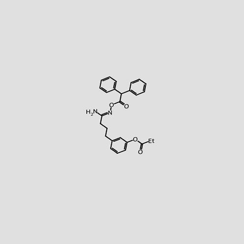 CCC(=O)Oc1cccc(CCCC(N)=NOC(=O)C(c2ccccc2)c2ccccc2)c1